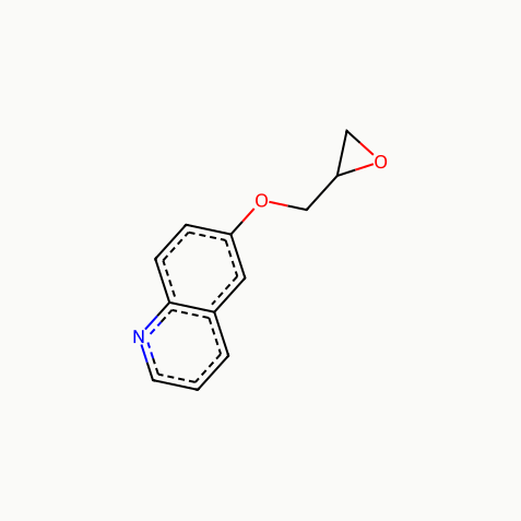 c1cnc2ccc(OCC3CO3)cc2c1